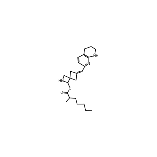 CCCCCC(C)C(=O)OC1NCC12CC(=Cc1ccc3c(n1)NCCC3)C2